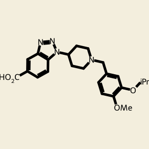 COc1ccc(CN2CCC(n3nnc4cc(C(=O)O)ccc43)CC2)cc1OC(C)C